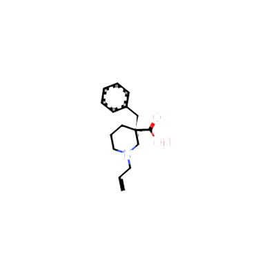 C=CCN1CCC[C@](Cc2ccccc2)(C(=O)O)C1